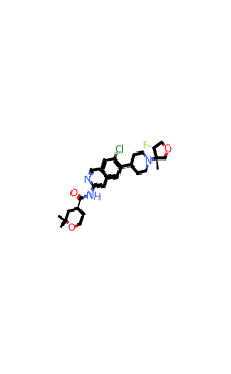 CC1(C)C[C@@H](C(=O)Nc2cc3cc(C4CCN([C@@]5(C)COC[C@H]5F)CC4)c(Cl)cc3cn2)CCO1